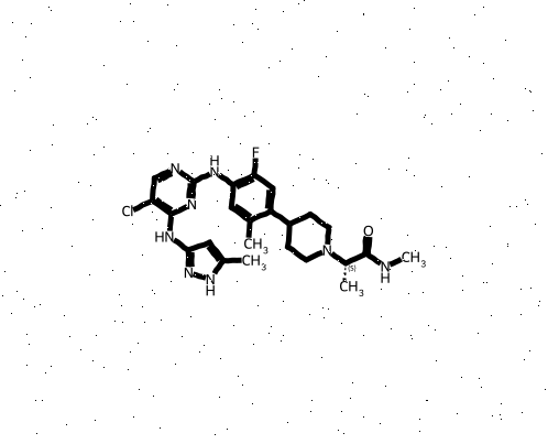 CNC(=O)[C@H](C)N1CCC(c2cc(F)c(Nc3ncc(Cl)c(Nc4cc(C)[nH]n4)n3)cc2C)CC1